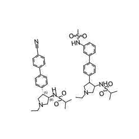 CCN1CC(NS(=O)(=O)C(C)C)C(c2ccc(-c3cccc(NS(C)(=O)=O)c3)cc2)C1.CCN1C[C@H](NS(=O)(=O)C(C)C)[C@@H](c2ccc(-c3ccc(C#N)cc3)cc2)C1